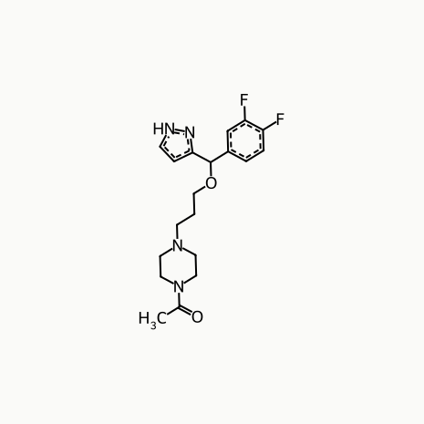 CC(=O)N1CCN(CCCOC(c2ccc(F)c(F)c2)c2cc[nH]n2)CC1